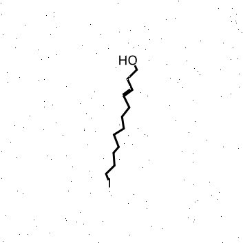 OCC/C=C/CCCCCCCCI